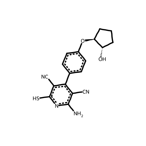 N#Cc1c(N)nc(S)c(C#N)c1-c1ccc(O[C@H]2CCC[C@@H]2O)cc1